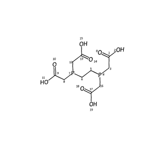 O=C(O)CP(CCP(CC(=O)O)CC(=O)O)CC(=O)O